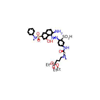 CCO[Si](CCCN(C)CC(=O)Nc1ccc(/N=N/c2c(N)ccc3cc(S(=O)(=O)N(C)c4ccccc4)cc(O)c23)c(S(=O)(=O)O)c1)(OCC)OCC